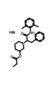 Br.CCC(=O)OC1CCCN(C(Cc2ccccc2)C(=O)Nc2c(C)cccc2C)C1